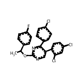 CC(Oc1ncc(-c2ccc(Cl)cc2Cl)c(-c2ccc(Cl)cc2)n1)c1ccc(F)cc1